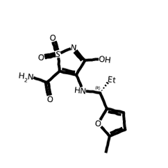 CC[C@@H](NC1=C(C(N)=O)S(=O)(=O)N=C1O)c1ccc(C)o1